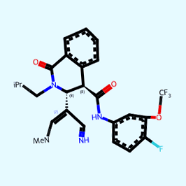 CN/C=C(\C=N)[C@H]1[C@H](C(=O)Nc2ccc(F)c(OC(F)(F)F)c2)c2ccccc2C(=O)N1CC(C)C